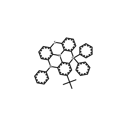 CC(C)(C)c1cc2c3c(c1)[Si](c1ccccc1)(c1ccccc1)c1cccc4c1N3c1c(cccc1B2c1ccccc1)S4